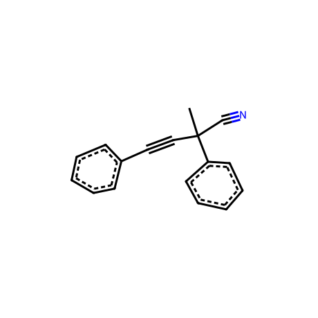 CC(C#N)(C#Cc1ccccc1)c1ccccc1